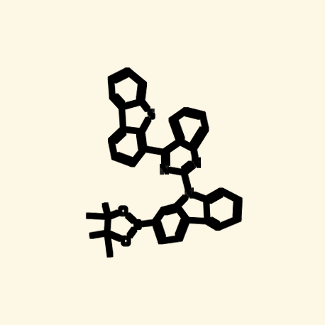 CC1(C)OB(c2ccc3c4ccccc4n(-c4nc(-c5cccc6c5sc5ccccc56)c5ccccc5n4)c3c2)OC1(C)C